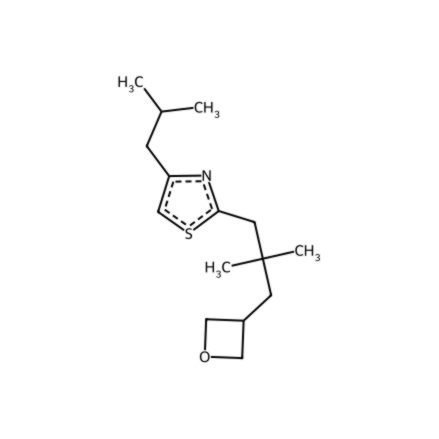 CC(C)Cc1csc(CC(C)(C)CC2COC2)n1